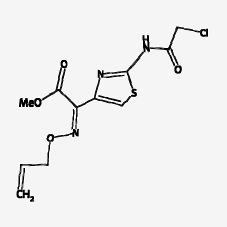 C=CCON=C(C(=O)OC)c1csc(NC(=O)CCl)n1